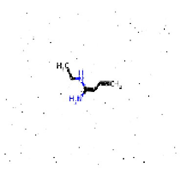 C=C/C=C(/N)NCC